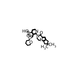 CC1(C)Cc2cc3n(c2C1)CCN(c1nccc(B(O)O)c1COC1CCCCO1)C3=O